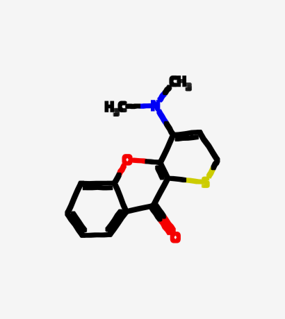 CN(C)C1=CCSc2c1oc1ccccc1c2=O